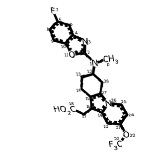 CN(c1nc2cc(F)ccc2o1)C1CCc2c(CC(=O)O)c3cc(OC(F)(F)F)ccn3c2C1